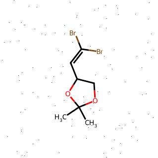 CC1(C)OCC(C=C(Br)Br)O1